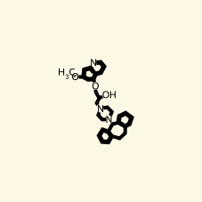 COc1cc(OCC(O)CN2CCN(C3c4ccccc4CCc4ccccc43)CC2)c2cccnc2c1